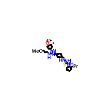 COCCCNc1nc(-c2ccc(CNNC(=S)Nc3ccccc3C(C)C)cc2)nn1-c1ccc(OC(F)(F)F)cc1